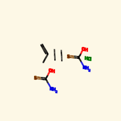 C=CC.CC.CC.Cl.NC(O)=S.NC(O)=S